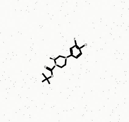 C[C@H]1CN(c2ccc(Cl)c(F)c2)CCN1C(=O)OC(C)(C)C